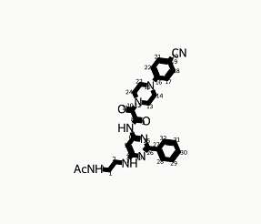 CC(=O)NCCNc1cc(NC(=O)C(=O)N2CCN(c3ccc(C#N)cc3)CC2)nc(-c2ccccc2)n1